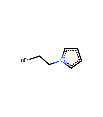 CCCCCn1cccc1